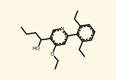 CCCC(O)c1cnc(-c2c(CC)cccc2CC)cc1OCC